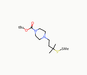 CSSC(C)(C)CCN1CCN(C(=O)OC(C)(C)C)CC1